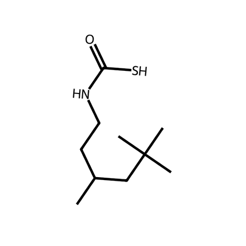 CC(CCNC(=O)S)CC(C)(C)C